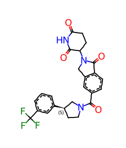 O=C1CCC(N2Cc3cc(C(=O)N4CC[C@@H](c5cccc(C(F)(F)F)c5)C4)ccc3C2=O)C(=O)N1